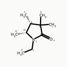 CCN1C(=O)C(C)(C)[C@@H](C)[C@H]1C